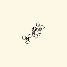 C1=CC2c3cc(-n4c5ccccc5c5ccccc54)ccc3N(c3ccccc3)C2C2=C1Cc1ccc([Si](c3ccccc3)(c3ccccc3)c3ccccc3)cc12